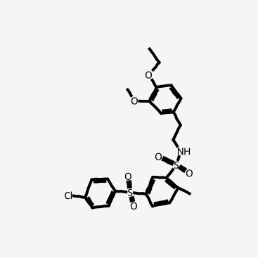 CCOc1ccc(CCNS(=O)(=O)c2cc(S(=O)(=O)c3ccc(Cl)cc3)ccc2C)cc1OC